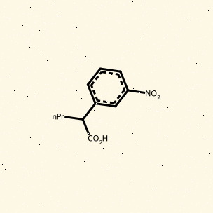 CCCC(C(=O)O)c1cccc([N+](=O)[O-])c1